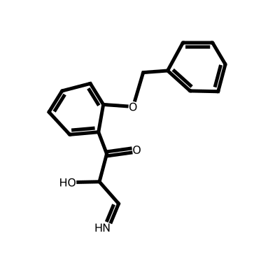 N=CC(O)C(=O)c1ccccc1OCc1ccccc1